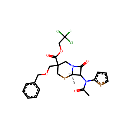 CC(=O)N(c1cccs1)C1C(=O)N2CC(COCc3ccccc3)(C(=O)OCC(Cl)(Cl)Cl)CS[C@H]12